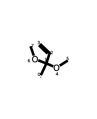 [CH2]C(C=C)(OC)OC